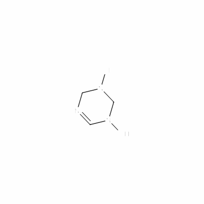 ON1[C]=NCN(Cl)C1